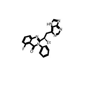 CC[C@H](Cc1ncnc2nc[nH]c12)c1nc2cccc(F)c2c(=O)n1-c1ccccc1